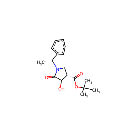 C[C@H](c1ccccc1)N1C[C@H](C(=O)OC(C)(C)C)C(O)C1=O